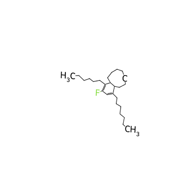 CCCCCCCC1=CC(F)=C(CCCCCC)C2CCCCCCCC12